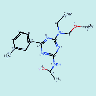 CCCCOCN(COC)c1nc(NC(C)O)nc(-c2cccc(C)c2)n1